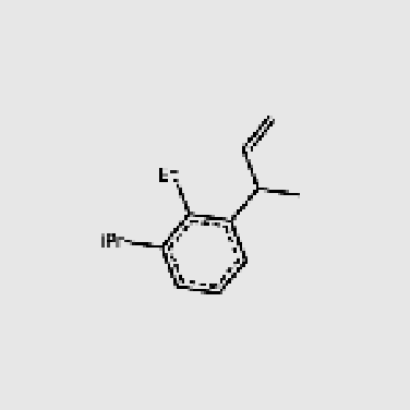 [CH2]C(C=C)c1cccc(C(C)C)c1CC